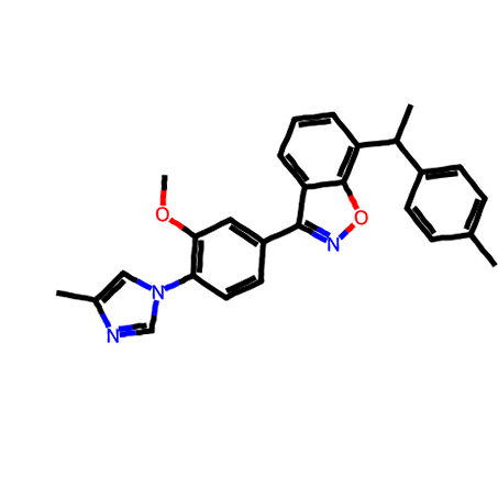 COc1cc(-c2noc3c(C(C)c4ccc(C)cc4)cccc23)ccc1-n1cnc(C)c1